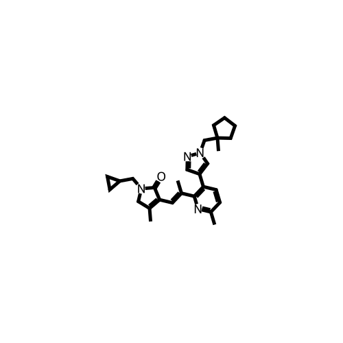 CC1=C(/C=C(\C)c2nc(C)ccc2-c2cnn(CC3(C)CCCC3)c2)C(=O)N(CC2CC2)C1